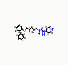 O=C(NCC1=NOC(COc2ccccc2-c2ccccc2)C1)Nc1ccncc1